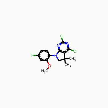 COc1cc(F)ccc1N1CC(C)(C)c2c(Cl)nc(Cl)nc21